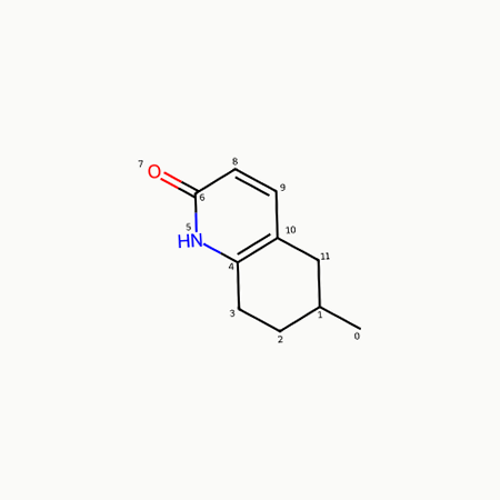 CC1CCc2[nH]c(=O)ccc2C1